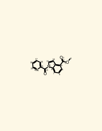 COC(=O)c1cccc2c1ccn2C(=O)c1ccccn1